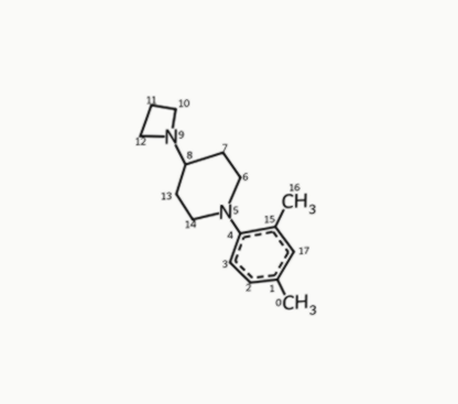 Cc1ccc(N2CCC(N3CCC3)CC2)c(C)c1